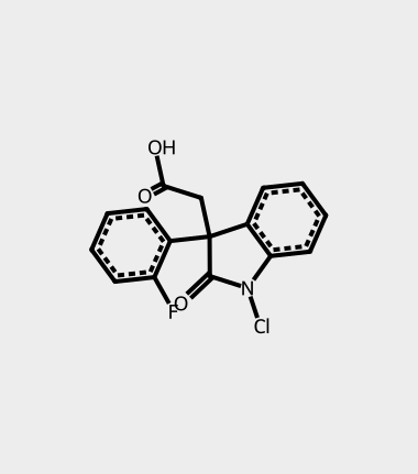 O=C(O)CC1(c2ccccc2F)C(=O)N(Cl)c2ccccc21